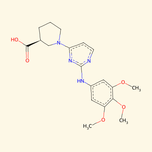 COc1cc(Nc2nccc(N3CCC[C@H](C(=O)O)C3)n2)cc(OC)c1OC